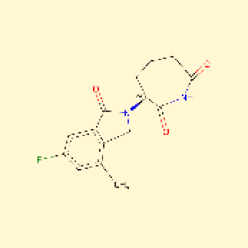 Cc1cc(F)cc2c1CN([C@H]1CCCC(=O)NC1=O)C2=O